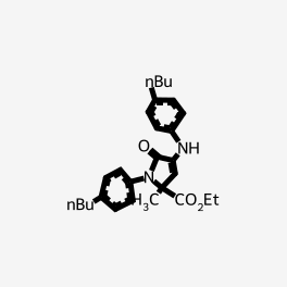 CCCCc1ccc(NC2=CC(C)(C(=O)OCC)N(c3ccc(CCCC)cc3)C2=O)cc1